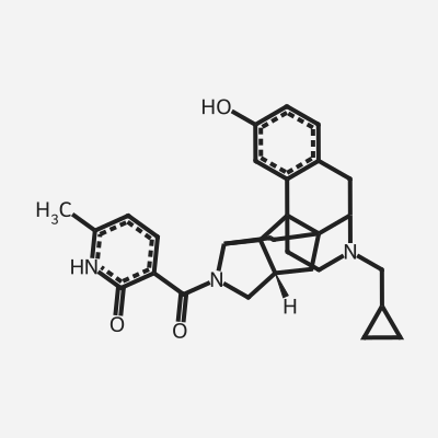 Cc1ccc(C(=O)N2C[C@H]3CC45CCC2C3C42CCN(CC3CC3)C5Cc3ccc(O)cc32)c(=O)[nH]1